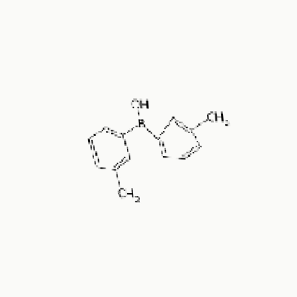 Cc1cccc(B(O)c2cccc(C)c2)c1